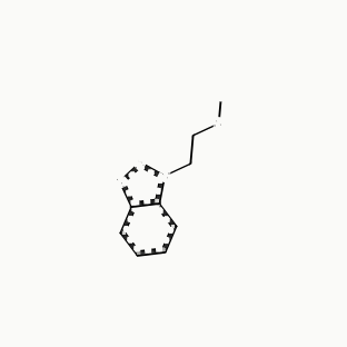 INCCn1nnc2ccccc21